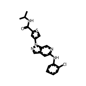 CC(C)NC(=O)c1cc(-n2ncc3cc(Nc4ccccc4Cl)ncc32)cs1